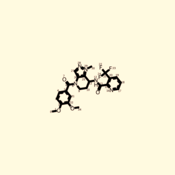 COc1ccc(C(=O)N2CCC(NC(=O)c3ncccc3C(F)(F)F)c3c2cnn3C)cc1OC